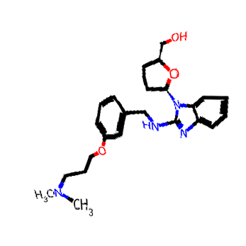 CN(C)CCCOc1cccc(CNc2nc3ccccc3n2[C@H]2CC[C@@H](CO)O2)c1